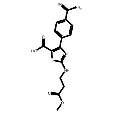 COC(=O)CCNc1nc(-c2ccc(C(=N)N)cc2)c(C(=O)O)s1